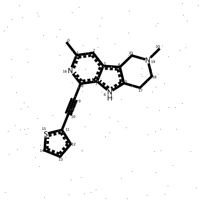 Cc1cc2c3c([nH]c2c(C#Cc2cccs2)n1)CCN(C)C3